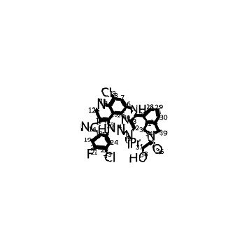 CC(C)n1cc([C@@H](Nc2cc(Cl)c3ncc(C#N)c(Nc4ccc(F)c(Cl)c4)c3c2)c2cccc3c2CN(C(=O)CO)C3)nn1